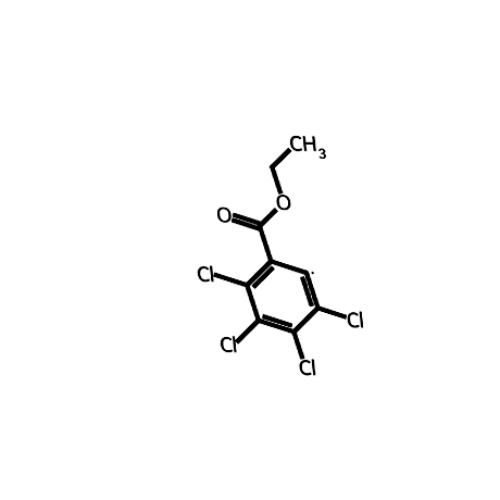 CCOC(=O)c1[c]c(Cl)c(Cl)c(Cl)c1Cl